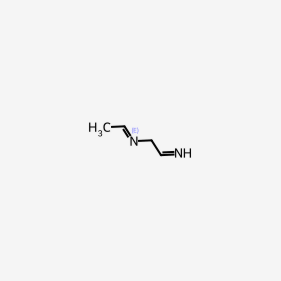 C/C=N/CC=N